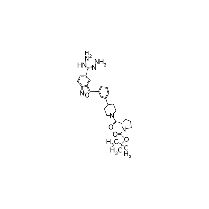 CC(C)(C)OC(=O)N1CCCC1C(=O)N1CCC(c2cccc(-c3onc4ccc(/C(=N/N)NN)cc34)c2)CC1